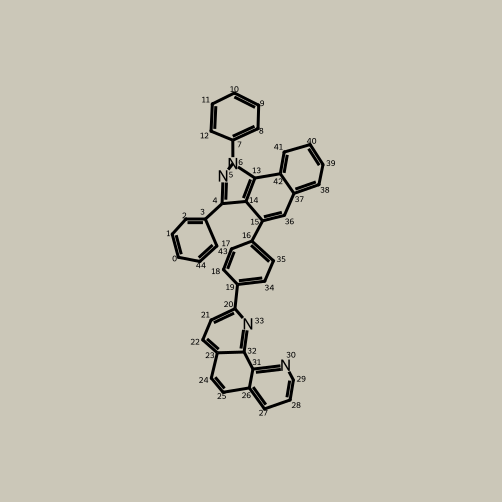 c1ccc(-c2nn(-c3ccccc3)c3c2c(-c2ccc(-c4ccc5ccc6cccnc6c5n4)cc2)cc2ccccc23)cc1